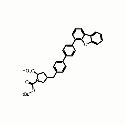 CC(C)(C)OC(=O)N1CC(Cc2ccc(-c3ccc(-c4cccc5c4oc4ccccc45)cc3)cc2)CC1C(=O)O